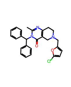 Cc1nc2c(c(=O)n1C(c1ccccc1)c1ccccc1)CN(Cc1ccc(Cl)o1)CC2